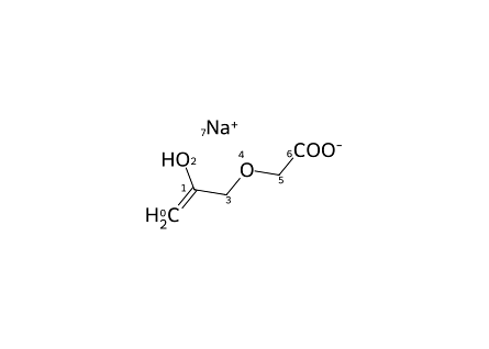 C=C(O)COCC(=O)[O-].[Na+]